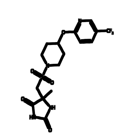 CC1(CS(=O)(=O)N2CCC(Oc3ccc(C(F)(F)F)cn3)CC2)NC(=O)NC1=O